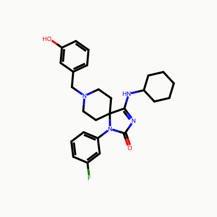 O=C1N=C(NC2CCCCC2)C2(CCN(Cc3cccc(O)c3)CC2)N1c1cccc(F)c1